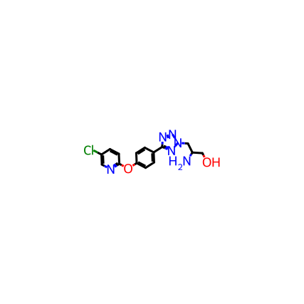 NC(CO)Cn1nnc(-c2ccc(Oc3ccc(Cl)cn3)cc2)n1